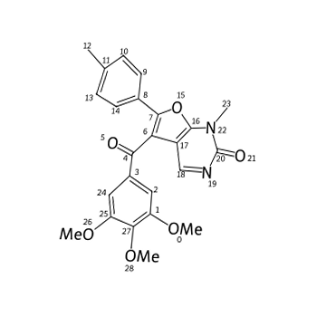 COc1cc(C(=O)c2c(-c3ccc(C)cc3)oc3c2cnc(=O)n3C)cc(OC)c1OC